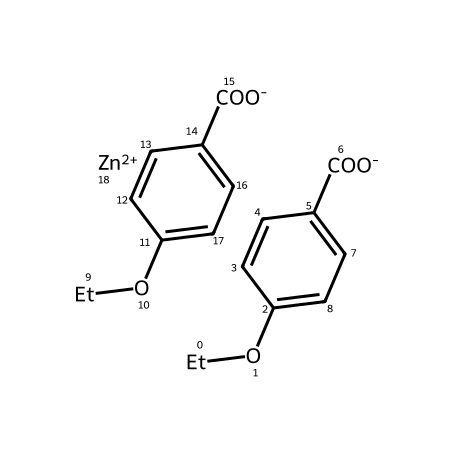 CCOc1ccc(C(=O)[O-])cc1.CCOc1ccc(C(=O)[O-])cc1.[Zn+2]